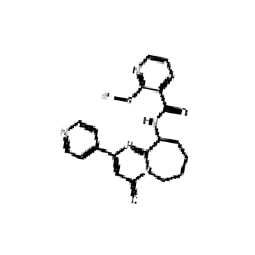 CCCSc1ncccc1C(=O)NC1CCCCn2c1nc(-c1ccncc1)cc2=O